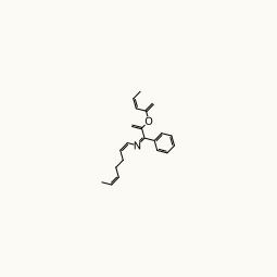 C=C(/C=C\C)OC(=C)/C(=N\C=C/CC/C=C\C)c1ccccc1